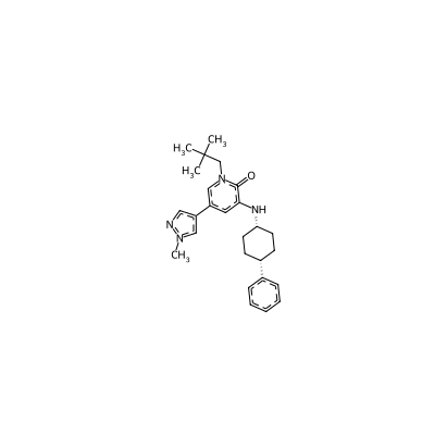 Cn1cc(-c2cc(N[C@H]3CC[C@@H](c4ccccc4)CC3)c(=O)n(CC(C)(C)C)c2)cn1